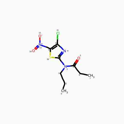 CCCN(C(=O)CC)c1nc(Cl)c([N+](=O)[O-])s1